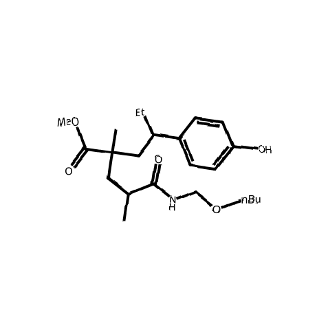 CCCCOCNC(=O)C(C)CC(C)(CC(CC)c1ccc(O)cc1)C(=O)OC